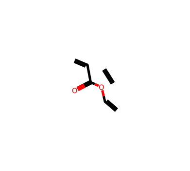 C=C.C=COC(=O)C=C